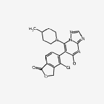 CC1CCN(c2c(-c3ccc4c(c3Cl)COC4=O)c(Cl)nc3ncnn23)CC1